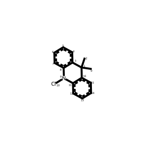 CC1(C)c2ccccc2N(Cl)c2ccccc21